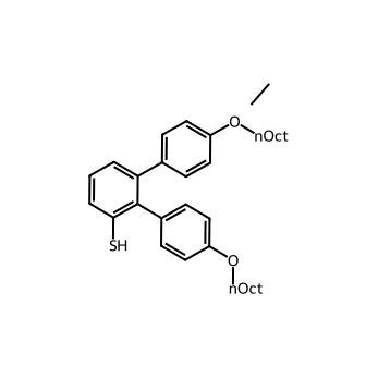 CC.CCCCCCCCOc1ccc(-c2cccc(S)c2-c2ccc(OCCCCCCCC)cc2)cc1